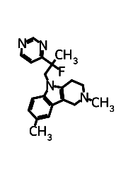 Cc1ccc2c(c1)c1c(n2CC(C)(F)c2ccncn2)CCN(C)C1